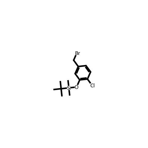 CC(C)(C)[Si](C)(C)Oc1cc(CBr)ccc1Cl